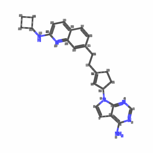 Nc1ncnc2c1ccn2C1C=C(CCc2ccc3ccc(NC4CCC4)nc3c2)CC1